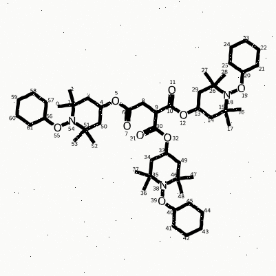 CC1(C)CC(OC(=O)CC(C(=O)OC2CC(C)(C)N(OC3CCCCC3)C(C)(C)C2)C(=O)OC2CC(C)(C)N(OC3CCCCC3)C(C)(C)C2)CC(C)(C)N1OC1CCCCC1